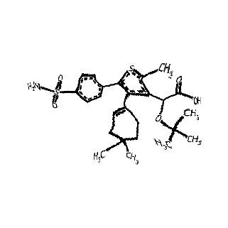 Cc1sc(-c2ccc(S(N)(=O)=O)cc2)c(C2=CCC(C)(C)CC2)c1C(OC(C)(C)C)C(=O)O